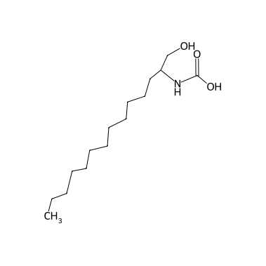 CCCCCCCCCCCCC(CO)NC(=O)O